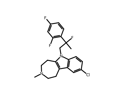 CN1CCc2c(n(CC(C)(F)c3ccc(F)cc3F)c3ccc(Cl)cc23)CC1